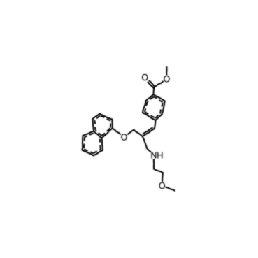 COCCNC/C(=C/c1ccc(C(=O)OC)cc1)COc1cccc2ccccc12